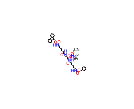 CC(C)N(C(C)C)N(OCCC#N)P(O)OC(CNC(=O)CCCCCNC(=O)OCC1C=CC=CC1)CNC(=O)CCCCCNC(=O)OCC1c2ccccc2-c2ccccc21